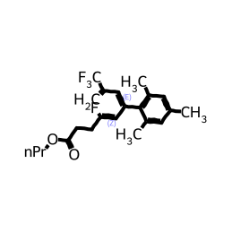 C=C(/C=C(\C=C(/F)CCC(=O)OCCC)c1c(C)cc(C)cc1C)C(F)(F)F